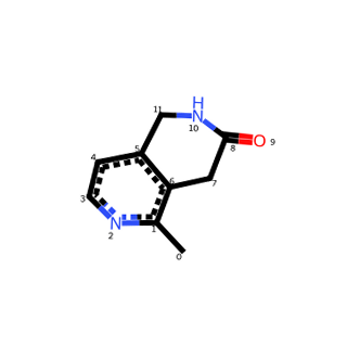 Cc1nccc2c1CC(=O)NC2